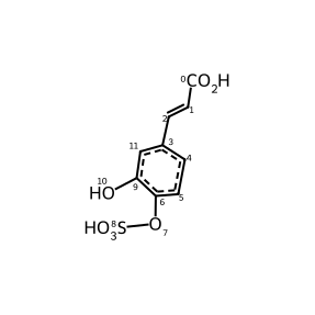 O=C(O)C=Cc1ccc(OS(=O)(=O)O)c(O)c1